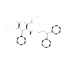 COC(OC)C1=C(C(=O)OCCC(c2ccccc2)c2ccccc2)C(c2cccc(Cl)c2)C(C(=O)O)=C(C)N1